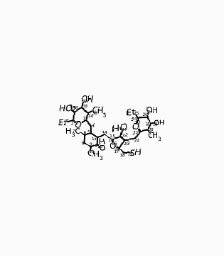 CCC1OC(CC2C(C)CC(C)C(O)C2C[C@@H]2O[C@H](CS)C(CC3OC(CC)C(O)C(O)C3C)C2O)C(C)C(O)C1O